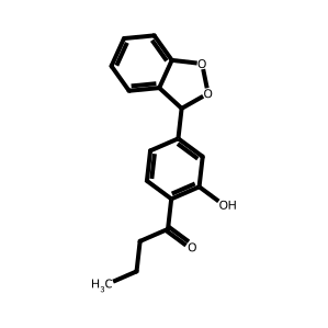 CCCC(=O)c1ccc(C2OOc3ccccc32)cc1O